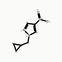 O=[N+]([O-])c1cnn(CC2CC2)c1